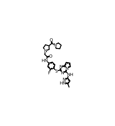 Cc1cc(Nc2nc(Sc3ccc(NC(=O)CN4CCC(C(=O)N5CCCC5)C4)cc3F)nc3cccn23)n[nH]1